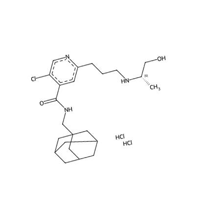 C[C@@H](CO)NCCCc1cc(C(=O)NCC23CC4CC(CC(C4)C2)C3)c(Cl)cn1.Cl.Cl